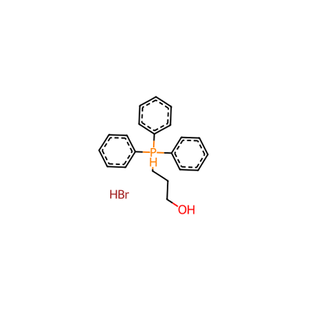 Br.OCCC[PH](c1ccccc1)(c1ccccc1)c1ccccc1